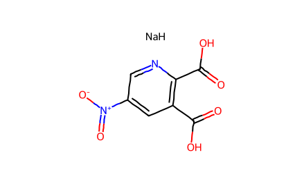 O=C(O)c1cc([N+](=O)[O-])cnc1C(=O)O.[NaH]